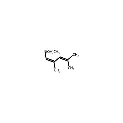 CC(C)=C/C(C)=C\N(C)O